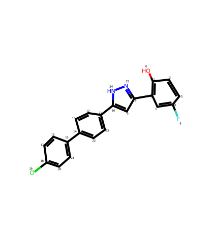 Oc1ccc(F)cc1-c1cc(-c2ccc(-c3ccc(Cl)cc3)cc2)[nH]n1